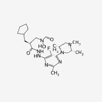 Cc1nc(NNC(=O)[C@@H](CC2CCCC2)CN(O)C=O)c(F)c(N2C[C@@H](C)N(C)C[C@H]2C)n1